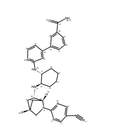 N#Cc1cnc(N2C[C@@H]3C[C@H](N[C@@H]4CCCC[C@H]4Nc4cc(-c5cccc(C(N)=O)c5)ccn4)[C@H]2C3)nc1